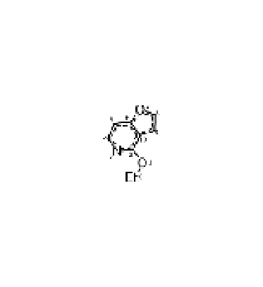 CCOc1nccc2occc12